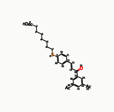 CCCCCCCCCCCCCCCCCSc1ccc(C=CC(=O)c2cc(C(C)=O)cc(C(C)=O)c2)cc1